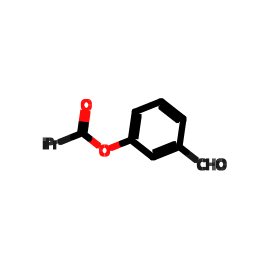 CC(C)C(=O)Oc1cccc(C=O)c1